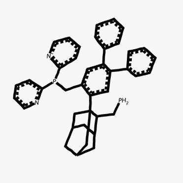 PCC1C2CC3CC(C2)CC1(c1cc(-c2ccccc2)c(-c2ccccc2)cc1CP(c1ccccn1)c1ccccn1)C3